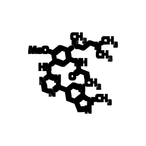 C=CC(=O)Nc1cc(Nc2ncnc(-c3cnc4c(cnn4C)c3)n2)c(OC)cc1N(C)CCN(C)C